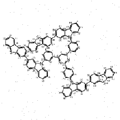 c1cc(-c2cc(-c3cccc(-n4c5ccccc5c5ccc(-c6ccc7c(c6)sc6ccccc67)cc54)c3)nc(-c3ccc(-n4c5ccccc5c5ccc(-c6ccc7c(c6)sc6ccccc67)cc54)cc3)n2)cc(-n2c3ccccc3c3ccc(-c4ccc5c(c4)sc4ccccc45)cc32)c1